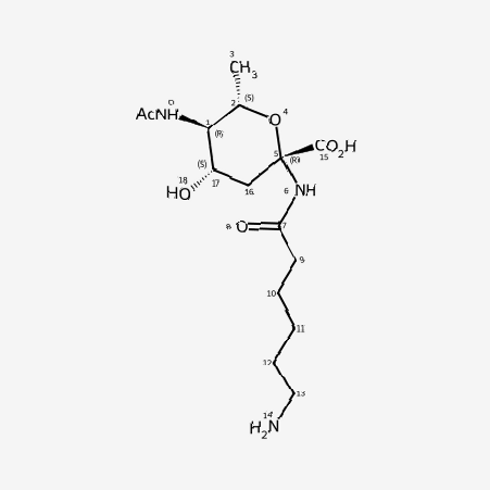 CC(=O)N[C@H]1[C@H](C)O[C@@](NC(=O)CCCCCN)(C(=O)O)C[C@@H]1O